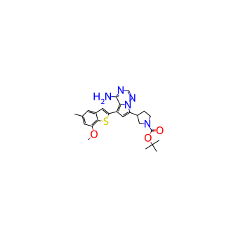 COc1cc(C)cc2cc(-c3cc(C4CCN(C(=O)OC(C)(C)C)C4)n4ncnc(N)c34)sc12